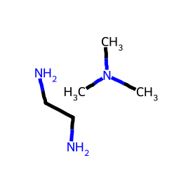 CN(C)C.NCCN